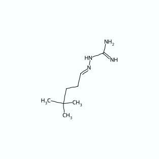 CC(C)(C)CC/C=N/NC(=N)N